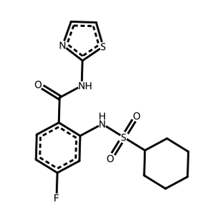 O=C(Nc1nccs1)c1ccc(F)cc1NS(=O)(=O)C1CCCCC1